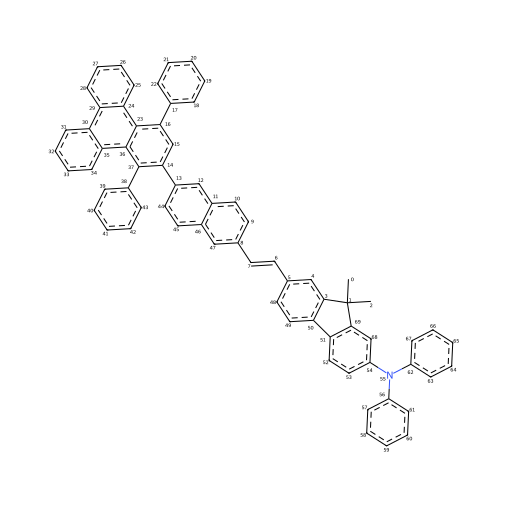 CC1(C)c2cc(/C=C/c3ccc4cc(-c5cc(-c6ccccc6)c6c7ccccc7c7ccccc7c6c5-c5ccccc5)ccc4c3)ccc2-c2ccc(N(c3ccccc3)c3ccccc3)cc21